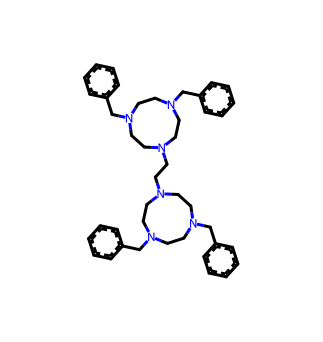 c1ccc(CN2CCN(CCN3CCN(Cc4ccccc4)CCN(Cc4ccccc4)CC3)CCN(Cc3ccccc3)CC2)cc1